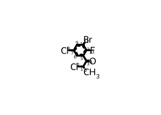 CC(Cl)C(=O)c1cc(Cl)cc(Br)c1F